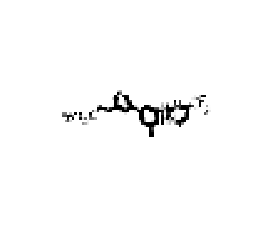 CCOC(=O)CCc1cncc(-c2cc(C)cc(Nc3nccc(C(F)(F)F)n3)c2)c1